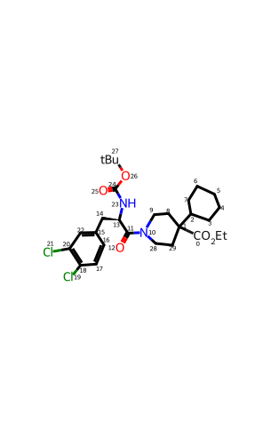 CCOC(=O)C1(C2CCCCC2)CCN(C(=O)[C@@H](Cc2ccc(Cl)c(Cl)c2)NC(=O)OC(C)(C)C)CC1